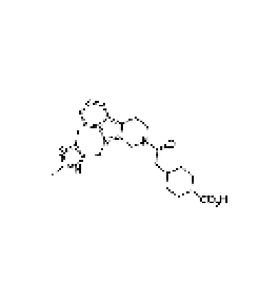 Cc1nc(Cn2c3c(c4ccccc42)CCN(C(=O)CC2CCC(C(=O)O)CC2)C3)c(C)s1